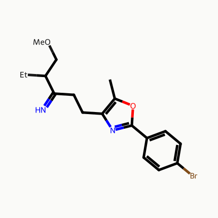 CCC(COC)C(=N)CCc1nc(-c2ccc(Br)cc2)oc1C